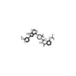 COc1cc(-c2cc3c(N4CCN(C(=O)NC(C)c5cccc(OC(F)F)c5)C(C)(C)C4)ncnc3[nH]2)ccn1